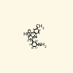 Cc1ccc2c(c1)C(=O)C1(O)CCN(c3cccc(N)c3)C1=N2